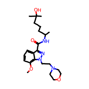 COc1cccc2c(C(=O)NC(C)CCCC(C)(C)O)nn(CCN3CCOCC3)c12